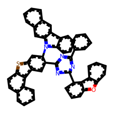 c1ccc(-c2nc(-c3cc4c(cc3-n3c5ccccc5c5cc6ccccc6cc53)sc3ccc5ccccc5c34)nc(-c3cccc4oc5ccccc5c34)n2)cc1